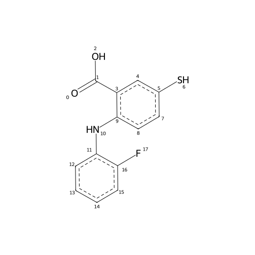 O=C(O)c1cc(S)ccc1Nc1ccccc1F